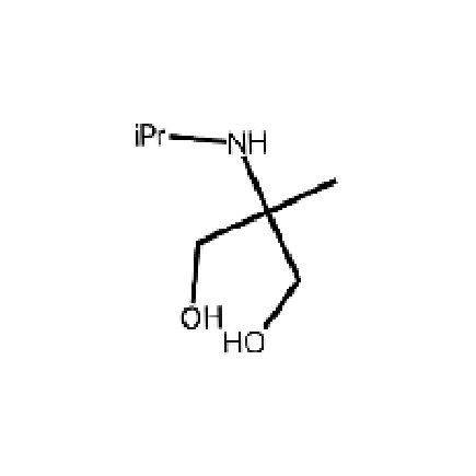 CC(C)NC(C)(CO)CO